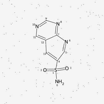 NS(=O)(=O)c1cnc2ncncc2c1